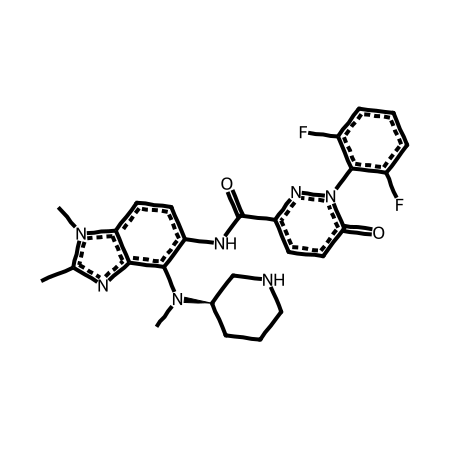 Cc1nc2c(N(C)[C@@H]3CCCNC3)c(NC(=O)c3ccc(=O)n(-c4c(F)cccc4F)n3)ccc2n1C